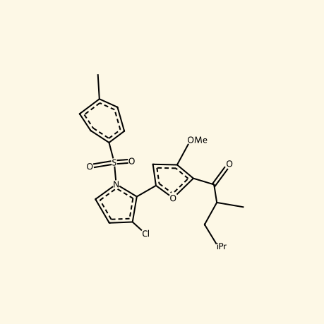 COc1cc(-c2c(Cl)ccn2S(=O)(=O)c2ccc(C)cc2)oc1C(=O)C(C)CC(C)C